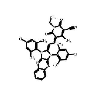 CCN1C(=O)C(C#N)=C(C)/C(=C/C=C2N(c3c(C)cc(Cl)cc3C)c3nc4ccccc4nc3N2c2c(C)cc(Cl)cc2C)C1=O